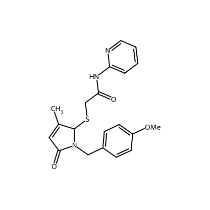 COc1ccc(CN2C(=O)C=C(C)C2SCC(=O)Nc2ccccn2)cc1